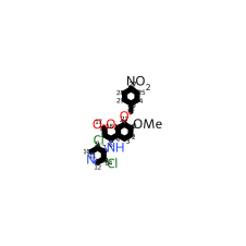 COc1ccc2c(Nc3c(Cl)cncc3Cl)cc(=O)oc2c1OCc1ccc([N+](=O)[O-])cc1